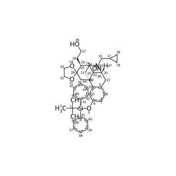 CC(C)(C)[Si](Oc1ccc2c(c1)[C@]13CCN(CC4CC4)[C@H](C2)[C@]1(O)C[C@H](CCO)C1(C3)OCCO1)(c1ccccc1)c1ccccc1